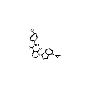 O=C(Nc1ccc(Cl)cc1)c1cccn(C2CCc3c(C4CC4)cccc32)c1=O